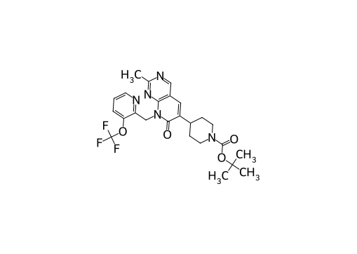 Cc1ncc2cc(C3CCN(C(=O)OC(C)(C)C)CC3)c(=O)n(Cc3ncccc3OC(F)(F)F)c2n1